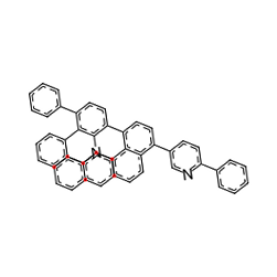 c1ccc(-c2ccc(-c3ccc4c5c(cccc35)N(c3ccccc3)c3c-4ccc(-c4ccccc4)c3-c3ccccc3-c3ccccc3)cn2)cc1